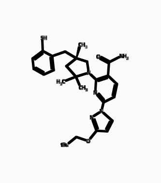 CC(C)(C)COc1ccn(-c2ccc(C(N)=O)c(N3C[C@@](C)(Cc4ccccc4S)CC3(C)C)n2)n1